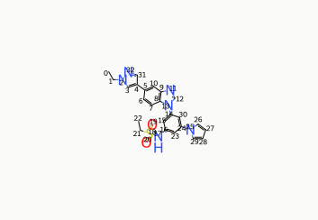 CCn1cc(-c2ccc3c(c2)ncn3-c2cc(NS(=O)(=O)CC)cc(-n3cccc3)c2)cn1